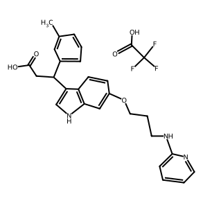 Cc1cccc(C(CC(=O)O)c2c[nH]c3cc(OCCCNc4ccccn4)ccc23)c1.O=C(O)C(F)(F)F